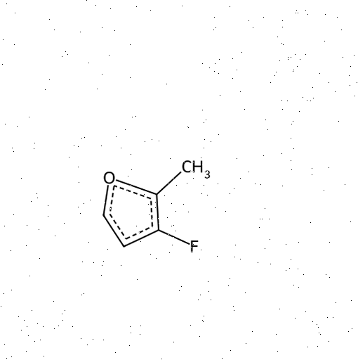 Cc1occc1F